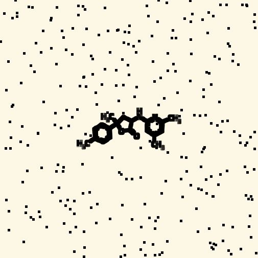 Cc1ccc(C2(C)CC(Nc3cc(C)cc(C)n3)C(=O)O2)cc1